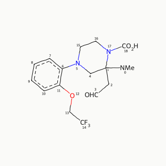 CNC1(CC=O)CN(c2ccccc2OCC(F)(F)F)CCN1C(=O)O